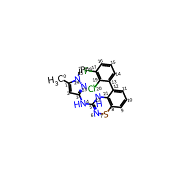 Cc1cc(NC2=NSc3cccc(-c4cccc(F)c4Cl)c3N2)nn1C(C)C